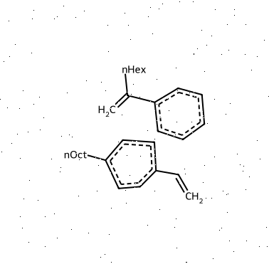 C=C(CCCCCC)c1ccccc1.C=Cc1ccc(CCCCCCCC)cc1